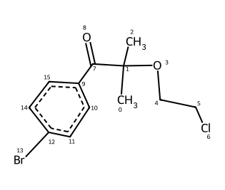 CC(C)(OCCCl)C(=O)c1ccc(Br)cc1